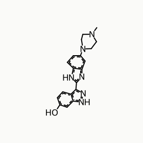 CN1CCN(c2ccc3[nH]c(-c4n[nH]c5cc(O)ccc45)nc3c2)CC1